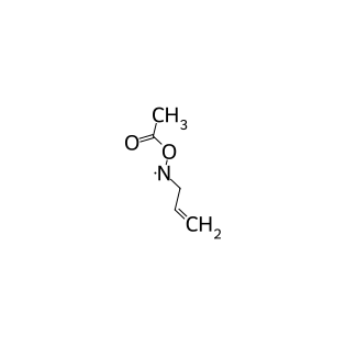 C=CC[N]OC(C)=O